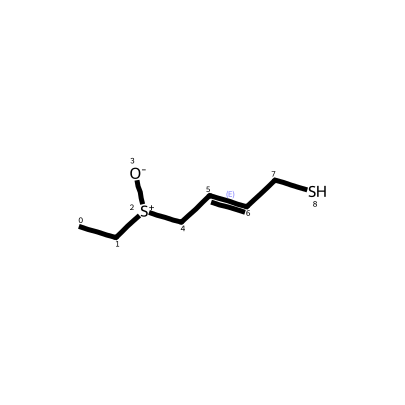 CC[S+]([O-])C/C=C/CS